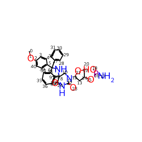 COc1ccc(C(NC2(C)CN([C@H]3C[C@H](OP(N)O)[C@@H](C)O3)C(=O)NC2=O)(c2ccccc2)c2ccccc2)cc1